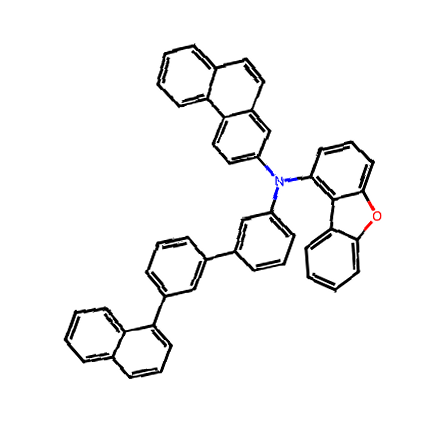 c1cc(-c2cccc(N(c3ccc4c(ccc5ccccc54)c3)c3cccc4oc5ccccc5c34)c2)cc(-c2cccc3ccccc23)c1